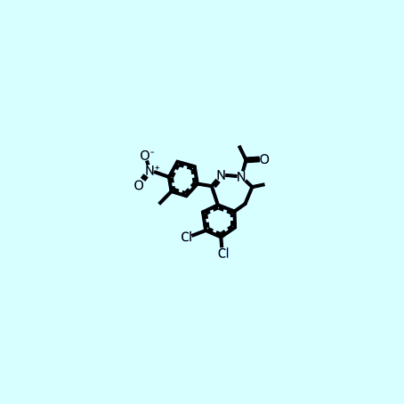 CC(=O)N1N=C(c2ccc([N+](=O)[O-])c(C)c2)c2cc(Cl)c(Cl)cc2CC1C